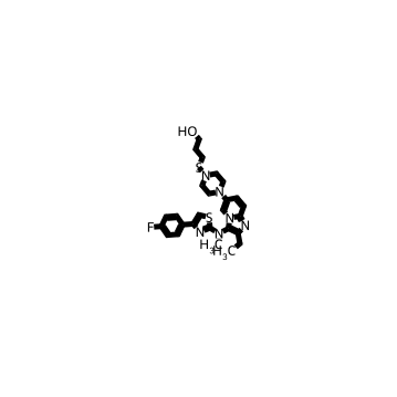 CCc1nc2ccc(N3CCN(SCCCO)CC3)cn2c1N(C)c1nc(-c2ccc(F)cc2)cs1